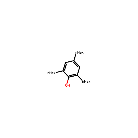 CCCCCCc1cc(CCCCCC)c(O)c(CCCCCC)c1